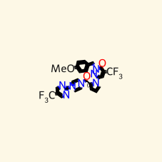 COc1ccc(Cn2nc(N3CCC[C@H]3C(=O)N3CCN(c4ncc(C(F)(F)F)cn4)CC3)cc(C(F)(F)F)c2=O)cc1